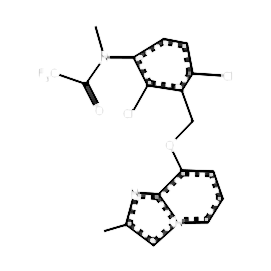 Cc1cn2cccc(OCc3c(Cl)ccc(N(C)C(=O)C(F)(F)F)c3Cl)c2n1